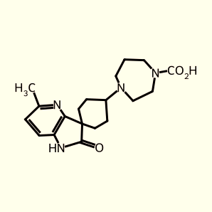 Cc1ccc2c(n1)C1(CCC(N3CCCN(C(=O)O)CC3)CC1)C(=O)N2